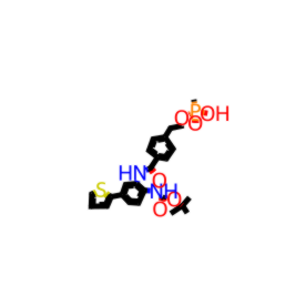 CC(C)(C)OC(=O)Nc1ccc(-c2cccs2)cc1NC(=O)c1ccc(CCOP(C)(=O)O)cc1